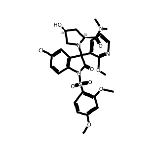 COc1ccc(S(=O)(=O)N2C(=O)C(c3cccnc3OC)(N3C[C@@H](O)C[C@H]3C(=O)N(C)C)c3cc(Cl)ccc32)c(OC)c1